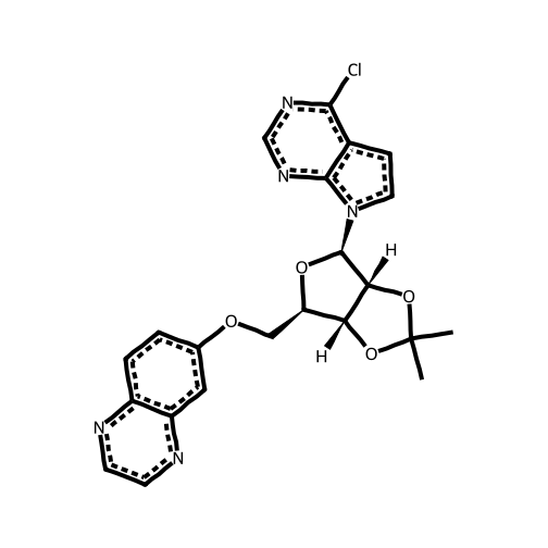 CC1(C)O[C@@H]2[C@H](O1)[C@@H](COc1ccc3nccnc3c1)O[C@H]2n1ccc2c(Cl)ncnc21